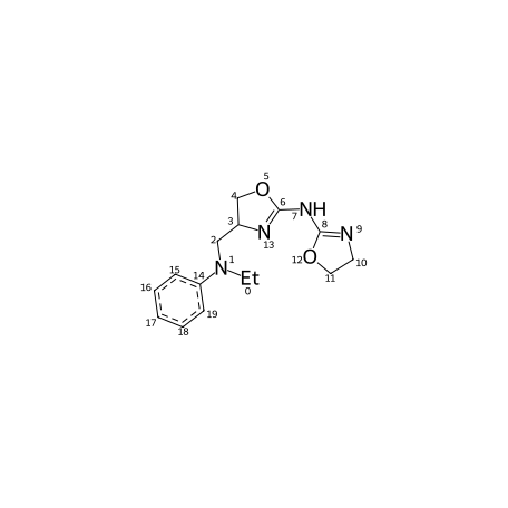 CCN(CC1COC(NC2=NCCO2)=N1)c1ccccc1